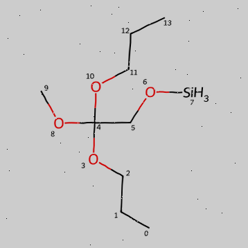 CCCOC(CO[SiH3])(OC)OCCC